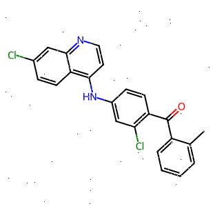 Cc1ccccc1C(=O)c1ccc(Nc2ccnc3cc(Cl)ccc23)cc1Cl